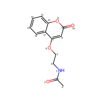 CC(=O)NCCOc1cc(=O)oc2ccccc12